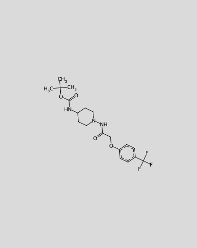 CC(C)(C)OC(=O)NC1CCN(NC(=O)COc2ccc(C(F)(F)F)cc2)CC1